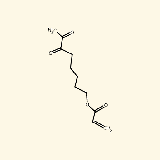 C=CC(=O)OCCCCCC(=O)C(C)=O